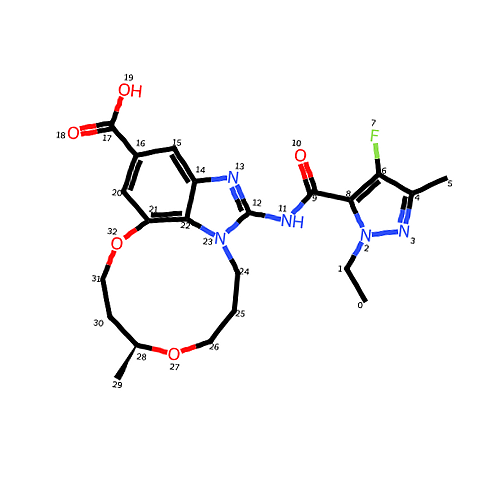 CCn1nc(C)c(F)c1C(=O)Nc1nc2cc(C(=O)O)cc3c2n1CCCO[C@@H](C)CCO3